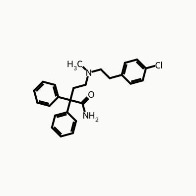 CN(CCc1ccc(Cl)cc1)CCC(C(N)=O)(c1ccccc1)c1ccccc1